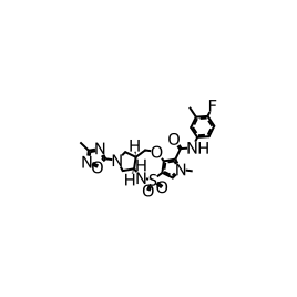 Cc1noc(N2C[C@H]3COc4c(cn(C)c4C(=O)Nc4ccc(F)c(C)c4)S(=O)(=O)N[C@H]3C2)n1